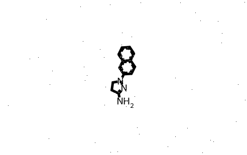 NC1=NN(c2ccc3ccccc3c2)CC1